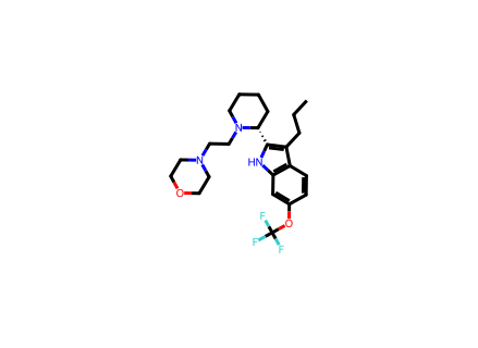 CCCc1c([C@H]2CCCCN2CCN2CCOCC2)[nH]c2cc(OC(F)(F)F)ccc12